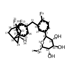 CS[C@H]1OC(c2ccc(F)c(Cc3ccc([C@@]45CCC(F)(F)C[C@@H]4C5)cc3)c2)[C@H](O)[C@@H](O)[C@@H]1O